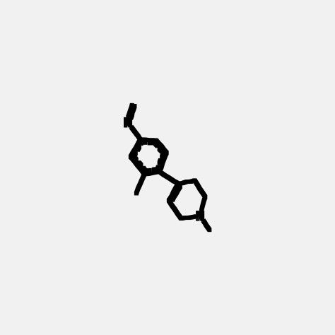 C=Nc1ccc(C2=CCN(C)CC2)c(C)c1